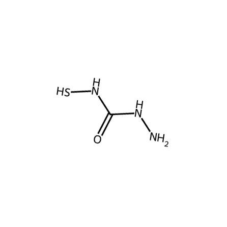 NNC(=O)NS